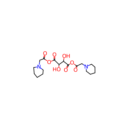 O=C(CN1CCCCC1)OC(=O)C(O)C(O)C(=O)OC(=O)CN1CCCCC1